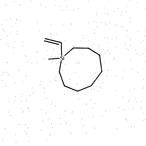 C=C[Si]1(C)CCCCCCCC1